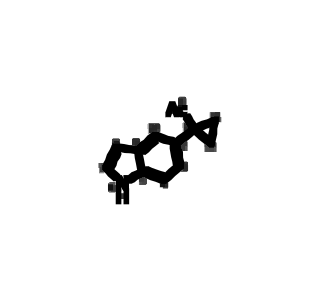 CC(=O)C1(c2ccc3[nH]ccc3c2)CC1